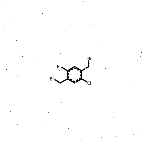 Clc1cc(CBr)c(Br)cc1CBr